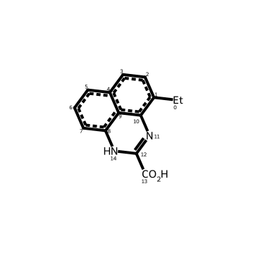 CCc1ccc2cccc3c2c1N=C(C(=O)O)N3